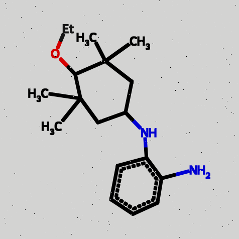 CCOC1C(C)(C)CC(Nc2ccccc2N)CC1(C)C